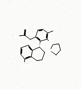 CNC(=O)Cc1ccc(Cl)c(Cl)c1[C@@H]1c2cccc(OC)c2CC[C@H]1N1CCCC1